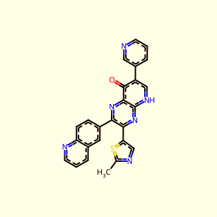 Cc1ncc(-c2nc3[nH]cc(-c4cccnc4)c(=O)c3nc2-c2ccc3ncccc3c2)s1